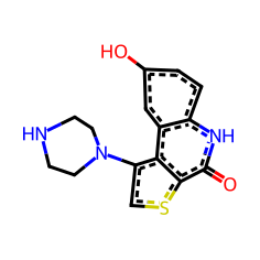 O=c1[nH]c2ccc(O)cc2c2c(N3CCNCC3)csc12